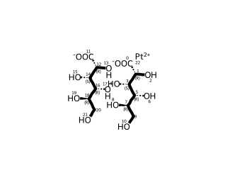 O=C([O-])[C@H](O)[C@@H](O)[C@H](O)[C@H](O)CO.O=C([O-])[C@H](O)[C@@H](O)[C@H](O)[C@H](O)CO.[Pt+2]